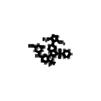 Cc1noc(C)c1-c1ccc2c(-c3nc(N[C@@H]4CNC[C@H](O)C4)ncc3C(F)(F)F)cn(S(=O)(=O)c3ccccc3)c2n1